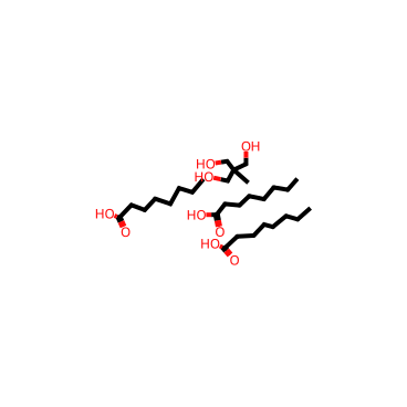 CC(CO)(CO)CO.CCCCCCCC(=O)O.CCCCCCCC(=O)O.CCCCCCCC(=O)O